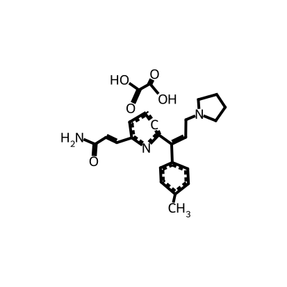 Cc1ccc(C(=CCN2CCCC2)c2cccc(C=CC(N)=O)n2)cc1.O=C(O)C(=O)O